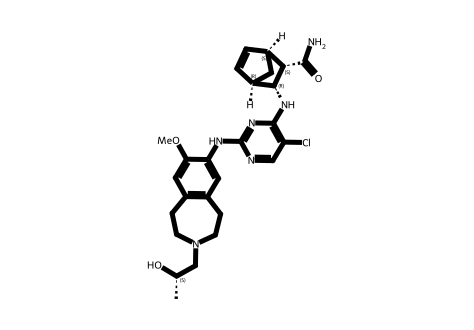 COc1cc2c(cc1Nc1ncc(Cl)c(N[C@H]3[C@@H](C(N)=O)[C@@H]4C=C[C@H]3C4)n1)CCN(C[C@H](C)O)CC2